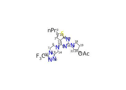 CCCc1cc2c(N3CCn4c(nnc4C(F)(F)F)C3)nc(N3CC[C@H](OC(C)=O)C3)nc2s1